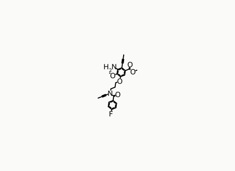 CC#Cc1c(C(=O)OC)cc(OCCCN(C#CC)C(=O)c2ccc(F)cc2)c(OC)c1N